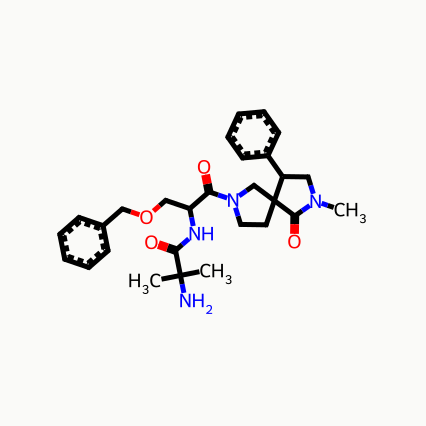 CN1CC(c2ccccc2)C2(CCN(C(=O)C(COCc3ccccc3)NC(=O)C(C)(C)N)C2)C1=O